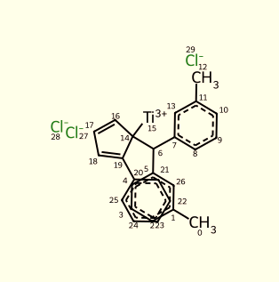 Cc1cccc(C(c2cccc(C)c2)[C]2([Ti+3])C=CC=C2c2ccccc2)c1.[Cl-].[Cl-].[Cl-]